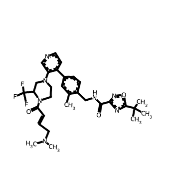 Cc1cc(-c2ccncc2N2CCN(C(=O)C=CCN(C)C)C(C(F)(F)F)C2)ccc1CNC(=O)c1noc(C(C)(C)C)n1